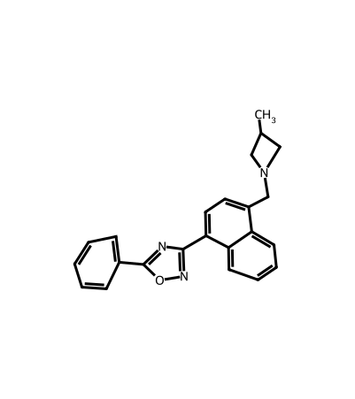 CC1CN(Cc2ccc(-c3noc(-c4ccccc4)n3)c3ccccc23)C1